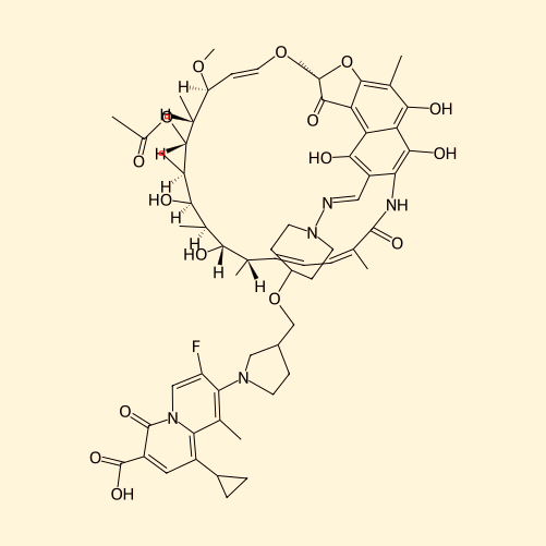 CO[C@H]1/C=C/O[C@@]2(C)Oc3c(C)c(O)c4c(O)c(c(/C=N/N5CCC(OCC6CCN(c7c(F)cn8c(=O)c(C(=O)O)cc(C9CC9)c8c7C)C6)CC5)c(O)c4c3C2=O)NC(=O)/C(C)=C\C=C\[C@H](C)[C@H](O)[C@@H](C)[C@@H](O)[C@@H](C)[C@H](OC(C)=O)[C@@H]1C